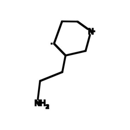 NCCC1[CH]CC[N]C1